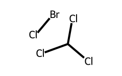 ClBr.ClC(Cl)Cl